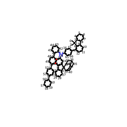 CC1(C)c2ccccc2-c2cccc(-c3ccc(N(c4ccc5c(c4)C4(c6ccccc6-5)C5CC6CC(C5)CC4C6)c4ccccc4-c4ccc(-c5ccc(-c6ccccc6)cc5)cc4)cc3)c21